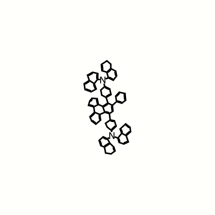 C1=Cc2c(cccc2N(C2=CC=C(c3cc(-c4ccccc4)c(C4=CC=C(N(c5cccc6c5C=CCC6)c5cccc6ccccc56)CC4)c4c5ccccc5c5ccccc5c34)CC2)c2cccc3ccccc23)CC1